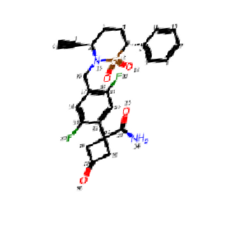 C#C[C@H]1CC[C@H](c2ccccc2)S(=O)(=O)N1Cc1cc(F)c(C2(C(N)=O)CC(=O)C2)cc1F